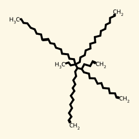 C=CCCCCCCCCCCCCCCC(CCC)(CCCCCCCCC=CCCCCCCCC)C(CCCCCCCCCCCCC=C)C(CCC=C)CCCCCCCCCCC=C